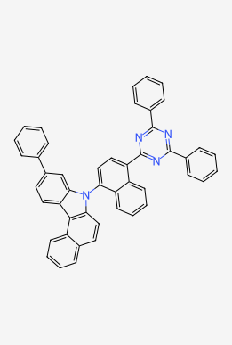 c1ccc(-c2ccc3c4c5ccccc5ccc4n(-c4ccc(-c5nc(-c6ccccc6)nc(-c6ccccc6)n5)c5ccccc45)c3c2)cc1